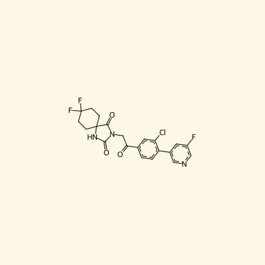 O=C(CN1C(=O)NC2(CCC(F)(F)CC2)C1=O)c1ccc(-c2cncc(F)c2)c(Cl)c1